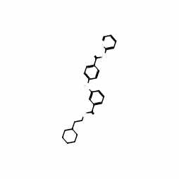 O=C(NCCC1CCCCC1)c1cccc(Nc2ccc(C(=O)Nc3ccccn3)cc2)c1